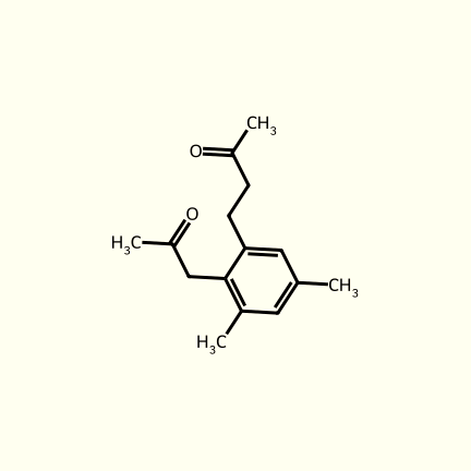 CC(=O)CCc1cc(C)cc(C)c1CC(C)=O